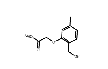 COC(=O)COc1cc(C)ccc1CO